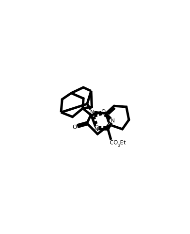 CCOC(=O)c1noc(C23CC4CC(C2)C(N2C(=O)CN5CCCC=C52)C(C4)C3)n1